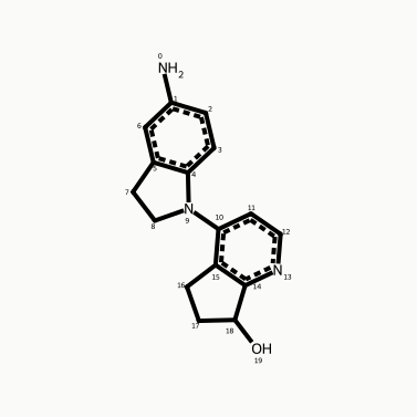 Nc1ccc2c(c1)CCN2c1ccnc2c1CCC2O